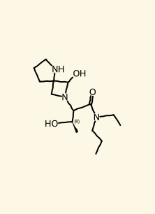 CCCN(CC)C(=O)C([C@@H](C)O)N1CC2(CCCN2)C1O